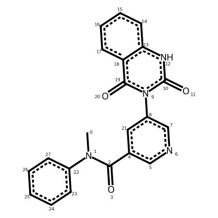 CN(C(=O)c1cncc(-n2c(=O)[nH]c3ccccc3c2=O)c1)c1ccccc1